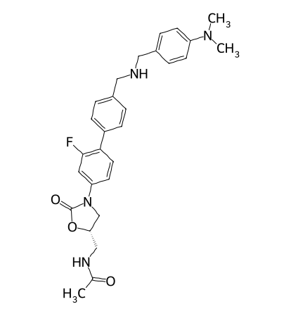 CC(=O)NC[C@H]1CN(c2ccc(-c3ccc(CNCc4ccc(N(C)C)cc4)cc3)c(F)c2)C(=O)O1